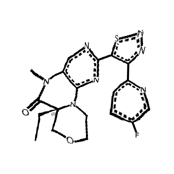 CC[C@]12COCCN1c1nc(-c3snnc3-c3ccc(F)cn3)ncc1N(C)C2=O